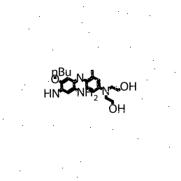 CCCCOC1=CC(=Nc2ccc(N(CCO)CCO)cc2C)C(N)=CC1=N